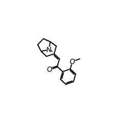 COc1ccccc1C(=O)C=C1CC2CCC(C1)N2C